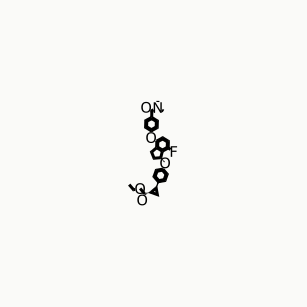 CCOC(=O)[C@H]1C[C@@H]1c1ccc(O[C@@H]2CCc3c(Oc4ccc(C(=O)N(C)C)cc4)ccc(F)c32)cc1